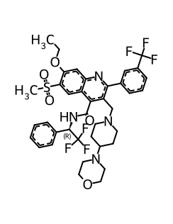 CCOc1cc2nc(-c3cccc(C(F)(F)F)c3)c(CN3CCC(N4CCOCC4)CC3)c(C(=O)N[C@H](c3ccccc3)C(F)(F)F)c2cc1S(C)(=O)=O